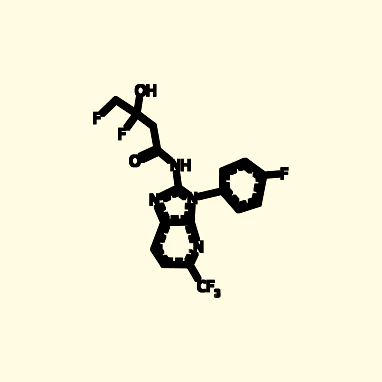 O=C(CC(O)(F)CF)Nc1nc2ccc(C(F)(F)F)nc2n1-c1ccc(F)cc1